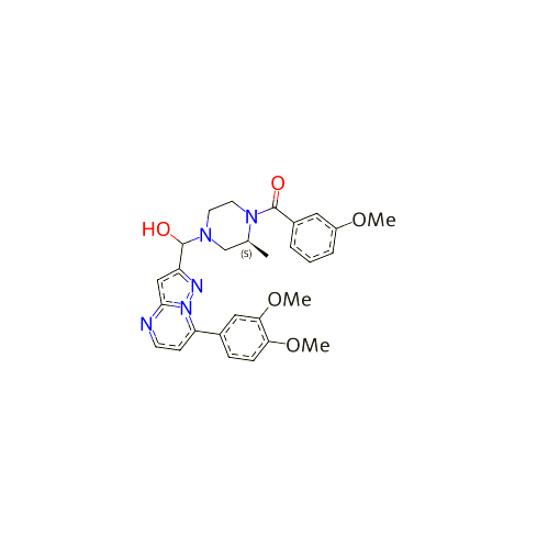 COc1cccc(C(=O)N2CCN(C(O)c3cc4nccc(-c5ccc(OC)c(OC)c5)n4n3)C[C@@H]2C)c1